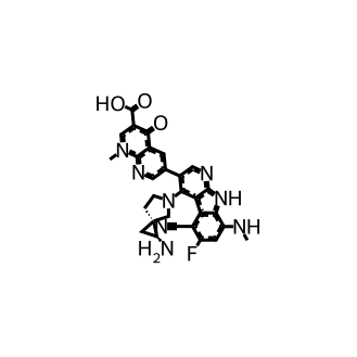 CNc1cc(F)c(C#N)c2c1[nH]c1ncc(-c3cnc4c(c3)c(=O)c(C(=O)O)cn4C)c(N3CC[C@]4(C[C@@H]4N)C3)c12